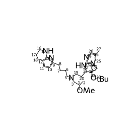 COC(C)CN(CCCCc1ccc2c(n1)NCCC2)CCC(Nc1ncc(C)cn1)C(=O)OC(C)(C)C